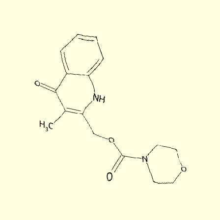 Cc1c(COC(=O)N2CCOCC2)[nH]c2ccccc2c1=O